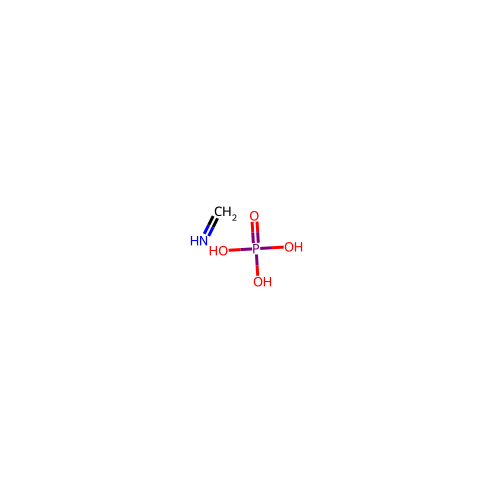 C=N.O=P(O)(O)O